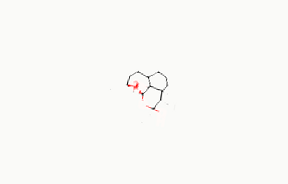 C[C@@H]1CC[C@H]2[C@@H](C)[C@@](C)(O)O[C@@H]3O[C@]4(C)CCC1[C@]32OO4